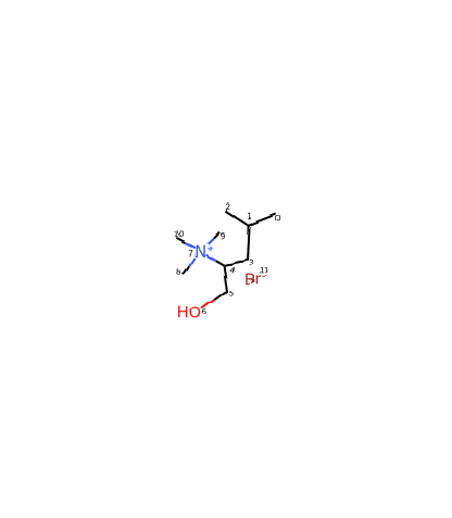 CC(C)CC(CO)[N+](C)(C)C.[Br-]